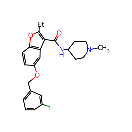 CCc1oc2ccc(OCc3cccc(F)c3)cc2c1C(=O)NC1CCN(C)CC1